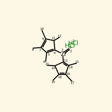 Cl.Cl.[CH2]=[Zr]([C]1=C(C)C(C)=C(C)C1C)[C]1=C(C)C(C)=C(C)C1C